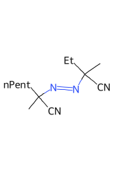 CCCCCC(C)(C#N)N=NC(C)(C#N)CC